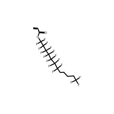 C=CC(=O)OC(F)(F)C(F)(F)C(F)(F)C(F)(F)C(F)(F)C(F)(F)C(F)(F)CCCCC(F)(F)F